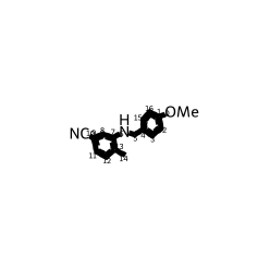 COc1ccc(CNc2cc(C#N)ccc2C)cc1